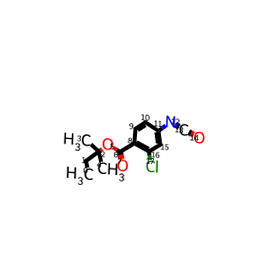 CCC(C)(C)OC(=O)c1ccc(N=C=O)cc1Cl